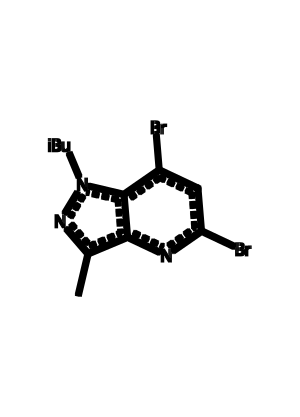 CCC(C)n1nc(C)c2nc(Br)cc(Br)c21